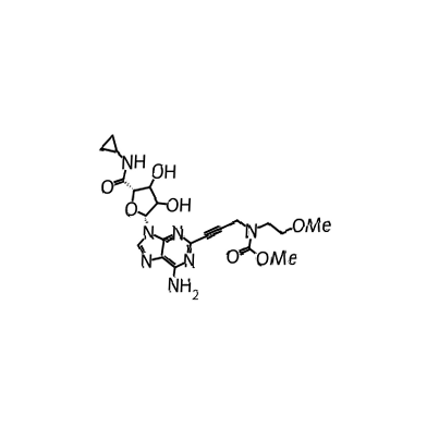 COCCN(CC#Cc1nc(N)c2ncn([C@@H]3O[C@H](C(=O)NC4CC4)C(O)C3O)c2n1)C(=O)OC